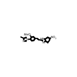 COc1cc(C=Cc2nc3ccc([N+](=O)[O-])cc3[nH]2)ccc1-n1cnc(C)c1